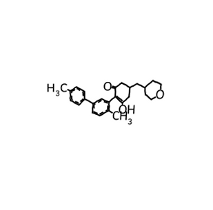 Cc1ccc(-c2ccc(C)c(C3=C(O)CC(CC4CCOCC4)CC3=O)c2)cc1